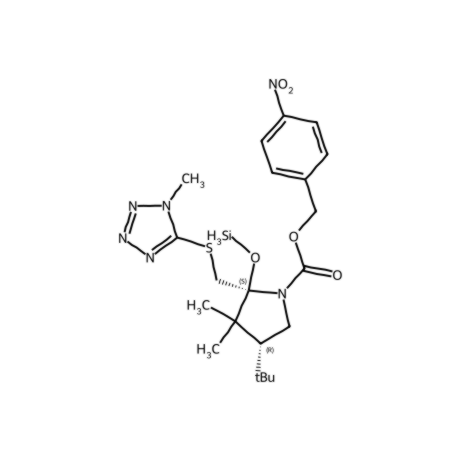 Cn1nnnc1SC[C@]1(O[SiH3])N(C(=O)OCc2ccc([N+](=O)[O-])cc2)C[C@H](C(C)(C)C)C1(C)C